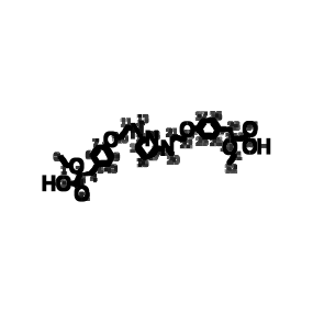 CCO[C@@H](Cc1ccc(OCCN(C)c2cccc(N(C)CCOc3ccc(C[C@H](OCC)C(=O)O)cc3)n2)cc1)C(=O)O